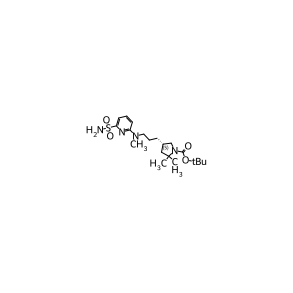 CN(CCC[C@@H]1CN(C(=O)OC(C)(C)C)C(C)(C)C1)c1cccc(S(N)(=O)=O)n1